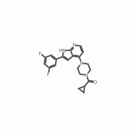 O=C(C1CC1)N1CCN(c2ccnc3[nH]c(-c4cc(F)cc(F)c4)cc23)CC1